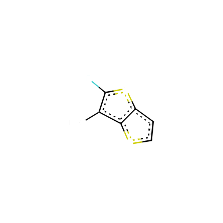 Cc1c(F)sc2ccsc12